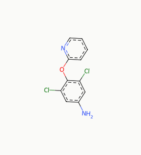 Nc1cc(Cl)c(Oc2ccccn2)c(Cl)c1